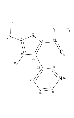 CCC(=O)c1sc(SC)c(C)c1-c1cccnc1